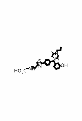 C=CCN1C[C@H](C)N([C@H](c2ccc(-c3nc(CCNCC(=O)O)cs3)cc2)c2cccc(O)c2)C[C@H]1C